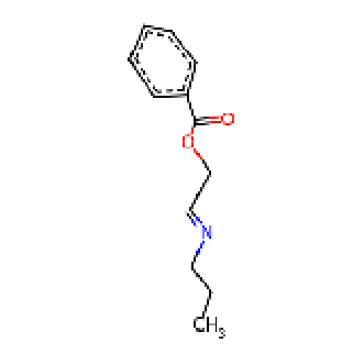 CCCN=CCOC(=O)c1ccccc1